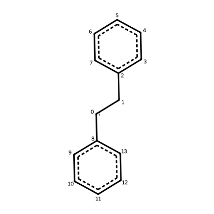 [C](Cc1ccccc1)c1ccccc1